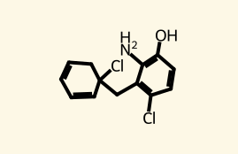 Nc1c(O)ccc(Cl)c1CC1(Cl)C=CC=CC1